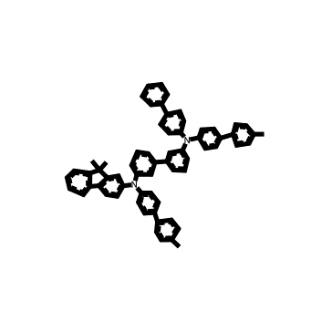 Cc1ccc(-c2ccc(N(c3ccc(-c4ccccc4)cc3)c3cccc(-c4cccc(N(c5ccc(-c6ccc(C)cc6)cc5)c5ccc6c(c5)C(C)(C)c5ccccc5-6)c4)c3)cc2)cc1